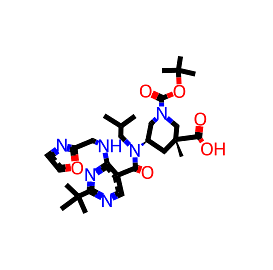 CC(C)CN(C(=O)c1cnc(C(C)(C)C)nc1NCc1ncco1)[C@@H]1CN(C(=O)OC(C)(C)C)C[C@](C)(C(=O)O)C1